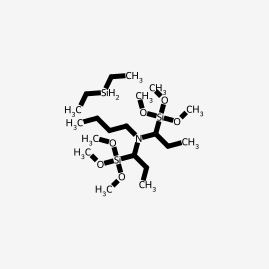 CCCCN(C(CC)[Si](OC)(OC)OC)C(CC)[Si](OC)(OC)OC.CC[SiH2]CC